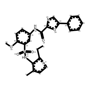 CCc1nccc(C)c1NS(=O)(=O)c1cc(NC(=O)c2ncc(-c3ccccc3)o2)ccc1OC